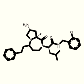 CC(C)C[C@H](C(=O)NCc1ccccc1Cl)N1CCC(CCc2ccccc2)N2C[C@H](N)C[C@H]2C1=O